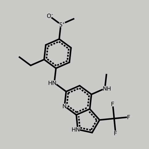 CCc1cc([S+](C)[O-])ccc1Nc1cc(NC)c2c(C(F)(F)F)c[nH]c2n1